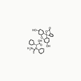 NC(=S)N(c1ccccc1)C(C(=O)O)c1ccccc1.O=C1OC2(c3ccc(O)cc3Oc3cc(O)ccc32)c2ccccc21